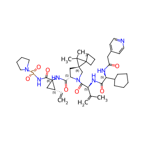 C=C[C@@H]1C[C@]1(NC(=O)[C@@H]1C[C@@]2(CN1C(=O)[C@@H](NC(=O)[C@@H](NC(=O)Cc1ccncc1)C1CCCCC1)C(=C)C)C(C)(C)C21CCC1)C(=O)NS(=O)(=O)N1CCCC1